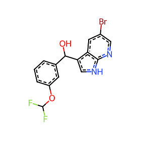 OC(c1cccc(OC(F)F)c1)c1c[nH]c2ncc(Br)cc12